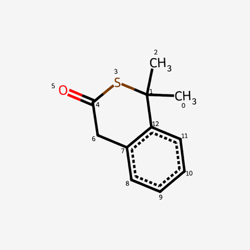 CC1(C)SC(=O)Cc2ccccc21